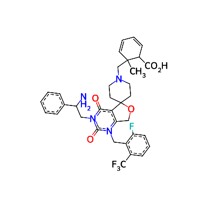 CC1(CN2CCC3(CC2)OCc2c3c(=O)n(CC(N)c3ccccc3)c(=O)n2Cc2c(F)cccc2C(F)(F)F)C=CC=CC1C(=O)O